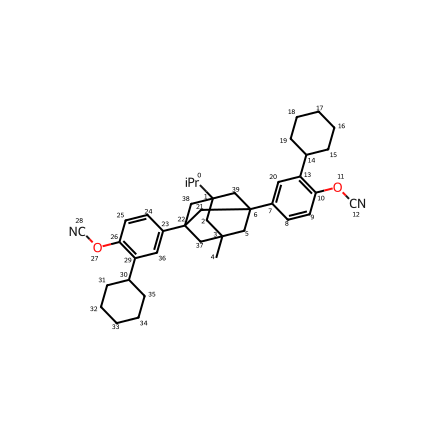 CC(C)C12CC3(C)CC(c4ccc(OC#N)c(C5CCCCC5)c4)(CC(c4ccc(OC#N)c(C5CCCCC5)c4)(C3)C1)C2